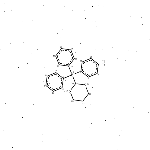 [Cl-].c1ccc([P+](c2ccccc2)(c2ccccc2)C2SCCCS2)cc1